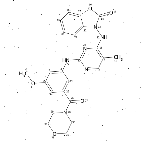 COc1cc(Nc2ncc(C)c(Nn3c(=O)oc4ccccc43)n2)cc(C(=O)N2CCOCC2)c1